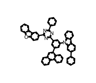 c1ccc(-c2ccc3c4ccccc4n(-c4cc(-c5nc(-c6ccccc6)nc(-c6ccc7oc8ccccc8c7c6)n5)cc(-c5cc6ccccc6c6ccccc56)c4)c3c2)cc1